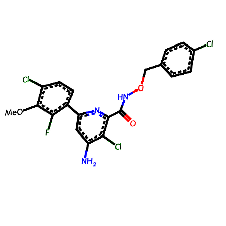 COc1c(Cl)ccc(-c2cc(N)c(Cl)c(C(=O)NOCc3ccc(Cl)cc3)n2)c1F